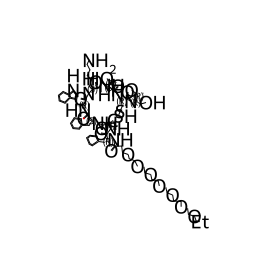 CCOCCOCCOCCOCCOCCOCCOCCC(=O)N[C@H](Cc1ccccc1)C(=O)N[C@H]1CSSC[C@@H](C(=O)N[C@H](CO)[C@@H](C)O)NC(=O)[C@H]([C@@H](C)O)NC(=O)[C@H](CCCCCN)NC(=O)[C@@H](Cc2c[nH]c3ccccc23)NC(=O)[C@H](Cc2ccccc2)NC1=O